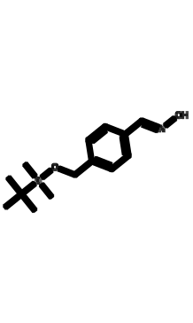 CC(C)(C)[Si](C)(C)OCc1ccc(C=NO)cc1